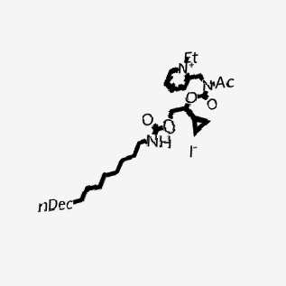 CCCCCCCCCCCCCCCCCCNC(=O)OCC(OC(=O)N(Cc1cccc[n+]1CC)C(C)=O)C1CC1.[I-]